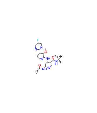 [2H]C([2H])([2H])NC(=O)c1cnc(NC(=O)C2CC2)cc1Nc1nccc(-c2ncc(F)cn2)c1OC